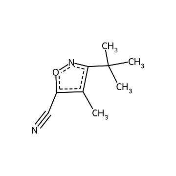 Cc1c(C(C)(C)C)noc1C#N